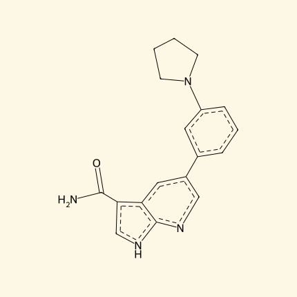 NC(=O)c1c[nH]c2ncc(-c3cccc(N4CCCC4)c3)cc12